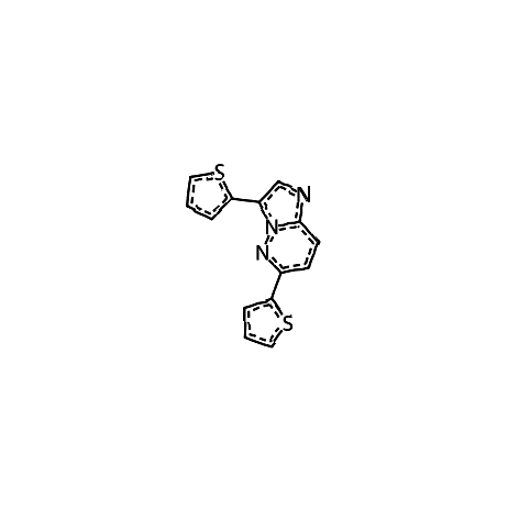 c1csc(-c2ccc3ncc(-c4cccs4)n3n2)c1